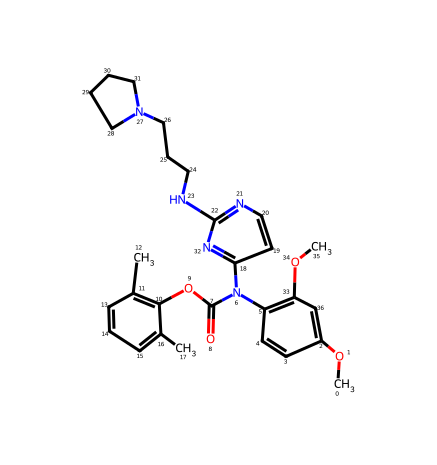 COc1ccc(N(C(=O)Oc2c(C)cccc2C)c2ccnc(NCCCN3CCCC3)n2)c(OC)c1